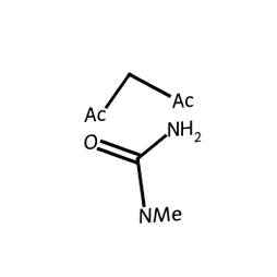 CC(=O)CC(C)=O.CNC(N)=O